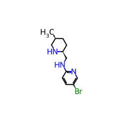 C[C@H]1CC[C@@H](CNc2ccc(Br)cn2)NC1